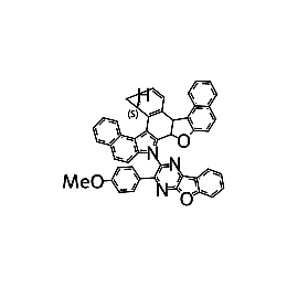 COc1ccc(-c2nc3oc4ccccc4c3nc2-n2c3c(c4c5ccccc5ccc42)C2=C(C=CC4C[C@H]24)C2c4c(ccc5ccccc45)OC32)cc1